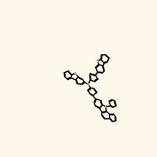 c1ccc(-n2c3cc(-c4ccc(N(c5ccc(-c6ccc7c(c6)sc6ccccc67)cc5)c5ccc6c(c5)sc5ccccc56)cc4)ccc3c3ccc4ccccc4c32)cc1